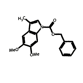 COc1cc2c(C)cn(C(=O)OCc3ccccc3)c2cc1OC